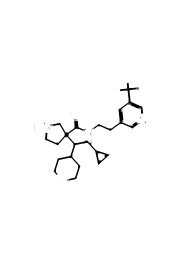 O=C(NCCc1cncc(C(F)(F)F)c1)C1(C(CC2CC2)C2CCOCC2)CCNC1